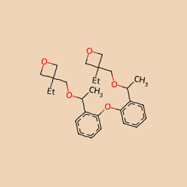 CCC1(COC(C)c2ccccc2Oc2ccccc2C(C)OCC2(CC)COC2)COC1